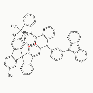 CC(C)(C)c1ccc2c(c1)C1(c3ccccc3-c3cc(N(c4cccc(-n5c6ccccc6c6ccccc65)c4)c4ccccc4-c4cccc5c4-c4ccccc4C5(C)C)ccc31)c1cc(C(C)(C)C)ccc1-2